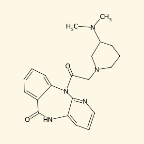 CN(C)C1CCCN(CC(=O)N2c3ccccc3C(=O)Nc3cccnc32)C1